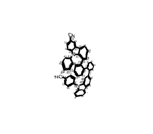 N#Cc1ccc(-n2c3ccccc3c3ccc(-c4ccccc4-c4ccccc4-c4cccc5c6cc(C#N)ccc6n(-c6ccccc6)c45)cc32)cc1